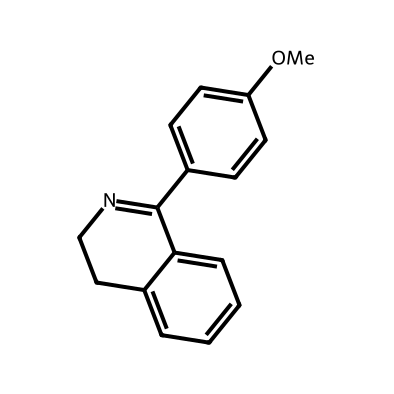 COc1ccc(C2=NCCc3ccccc32)cc1